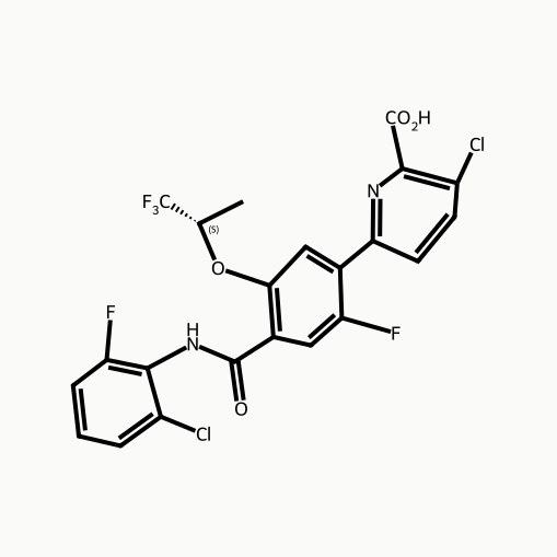 C[C@H](Oc1cc(-c2ccc(Cl)c(C(=O)O)n2)c(F)cc1C(=O)Nc1c(F)cccc1Cl)C(F)(F)F